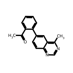 CC(=O)c1ccccc1-c1ccc2ncnc(C)c2c1